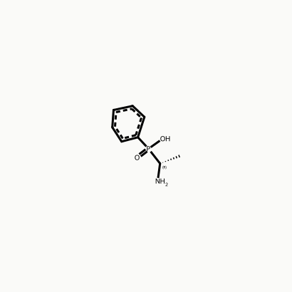 C[C@H](N)P(=O)(O)c1ccccc1